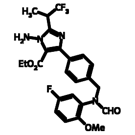 CCOC(=O)c1c(-c2ccc(CN(C=O)c3cc(F)ccc3OC)cc2)nc(C(C)C(F)(F)F)n1N